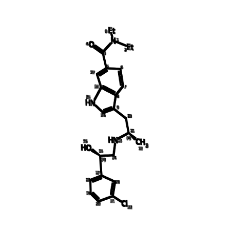 CCN(CC)C(=O)c1ccc2c(C[C@@H](C)NC[C@H](O)c3cccc(Cl)c3)c[nH]c2c1